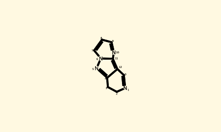 C1=NCCc2nn3cccnc3c21